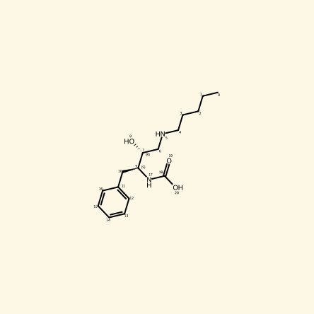 CCCCCNC[C@@H](O)[C@H](Cc1ccccc1)NC(=O)O